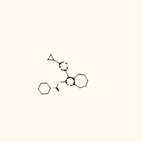 O=C(O)[C@@H]1CCCC[C@H]1C(=O)Nc1sc2c(c1-c1nc(C3CC3)no1)CCCCC2